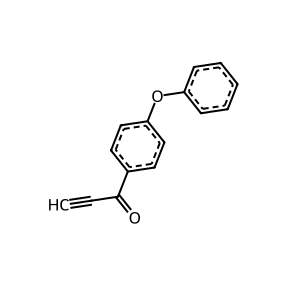 C#CC(=O)c1ccc(Oc2ccccc2)cc1